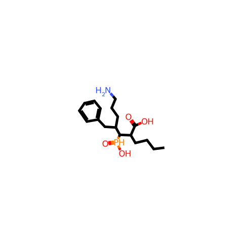 CCCCC(C(=O)O)C(C(CCCN)Cc1ccccc1)[PH](=O)O